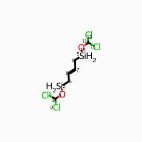 ClC(Cl)O[SiH2]CC=CC[SiH2]OC(Cl)Cl